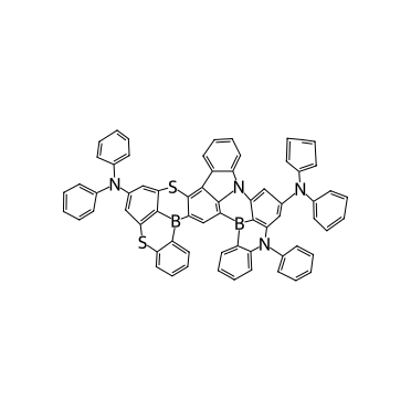 c1ccc(N(c2ccccc2)c2cc3c4c(c2)Sc2c(cc5c6c2c2ccccc2n6-c2cc(N(c6ccccc6)c6ccccc6)cc6c2B5c2ccccc2N6c2ccccc2)B4c2ccccc2S3)cc1